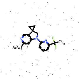 CC(=O)Nc1cc2c(cn1)C1(CC1)CN2c1cccc(C(C)(F)F)n1